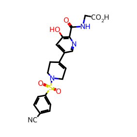 N#Cc1ccc(S(=O)(=O)N2CC=C(c3cnc(C(=O)NCC(=O)O)c(O)c3)CC2)cc1